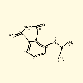 CC(C)Sc1cccc2c1C(=O)NC2=O